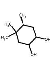 C[C@H]1CC(O)C(O)CC1(C)C